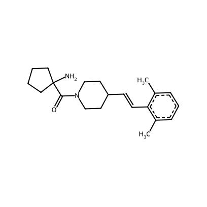 Cc1cccc(C)c1/C=C/C1CCN(C(=O)C2(N)CCCC2)CC1